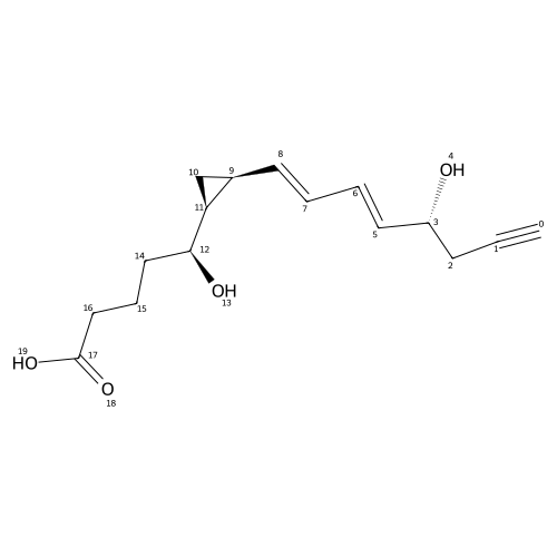 C#CC[C@@H](O)/C=C/C=C/[C@@H]1C[C@@H]1[C@@H](O)CCCC(=O)O